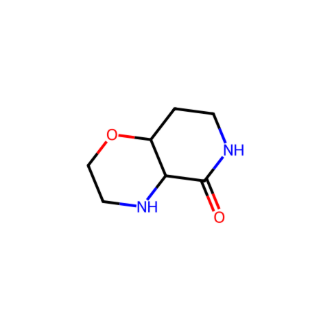 O=C1NCCC2OCCNC12